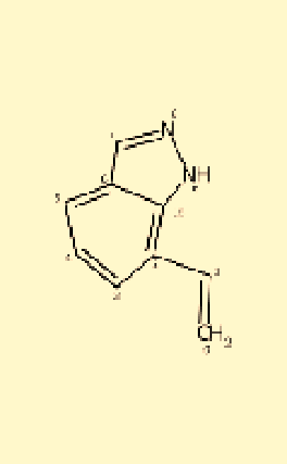 C=Cc1cccc2cn[nH]c12